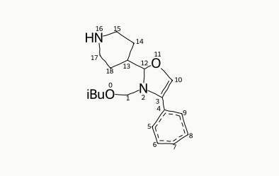 CC(C)COCN1C(c2ccccc2)=COC1C1CCNCC1